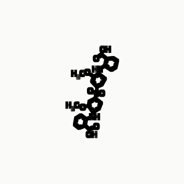 COc1cc(S(=O)(=O)c2ccc(Nc3ccccc3C(=O)O)c(OC)c2)ccc1Nc1ccccc1C(=O)O